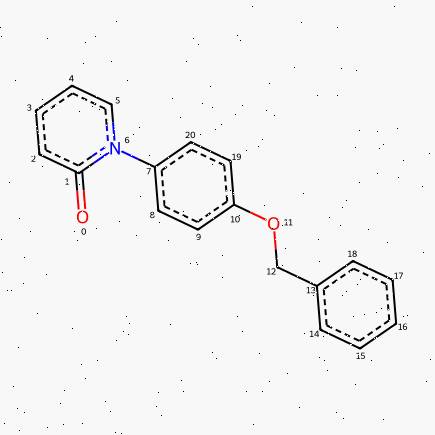 O=c1ccccn1-c1ccc(OCc2ccccc2)cc1